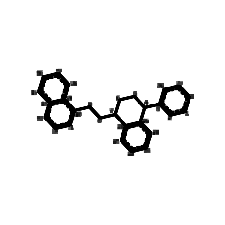 c1ccc(C2CCC(CCc3cccc4ccccc34)c3ccccc32)cc1